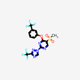 CS(=O)(=O)c1cnc(-n2cnc(C(F)(F)F)n2)nc1Oc1cccc(C(F)(F)F)c1